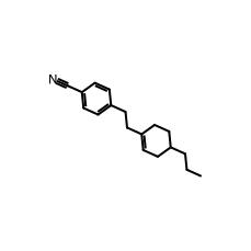 CCCC1CC=C(CCc2ccc(C#N)cc2)CC1